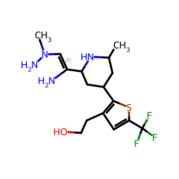 CC1CC(c2sc(C(F)(F)F)cc2CCO)CC(/C(N)=C/N(C)N)N1